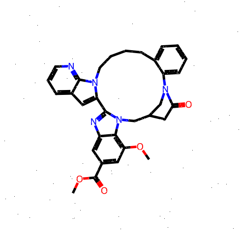 COC(=O)c1cc(OC)c2c(c1)nc1n2CC2CC(=O)N(C2)c2ccccc2CCCCn2c-1cc1cccnc12